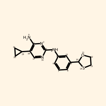 Nc1nc(Nc2cccc(C3OCCS3)c2)ncc1C1CC1